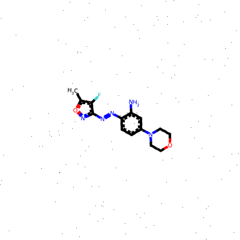 Cc1onc(N=Nc2ccc(N3CCOCC3)cc2N)c1F